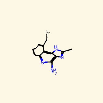 Cc1nc2c(N)nc3c(c2[nH]1)C(CC(C)C)CCC3